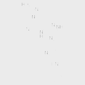 Cc1cn(-c2cncc3[nH]c(-c4n[nH]c5ccc(-c6cncc(CNCc7ccccc7)c6)nc45)cc23)cn1